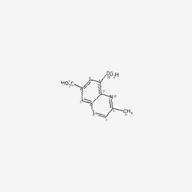 Cc1ccc2cc(C(=O)O)cc(C(=O)O)c2n1